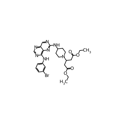 CCOC(=O)CC(CC(=O)OCC)N1CCC(Nc2ncc3ncnc(Nc4cccc(Br)c4)c3n2)CC1